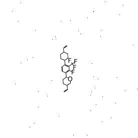 C=CC1CCC(c2ccc(C3CCC(C=C)CO3)c(F)c2C(F)(F)F)CC1